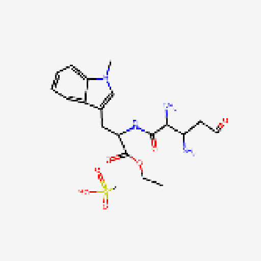 CCOC(=O)C(Cc1cn(C)c2ccccc12)NC(=O)C(N)C(N)CC=O.CS(=O)(=O)O